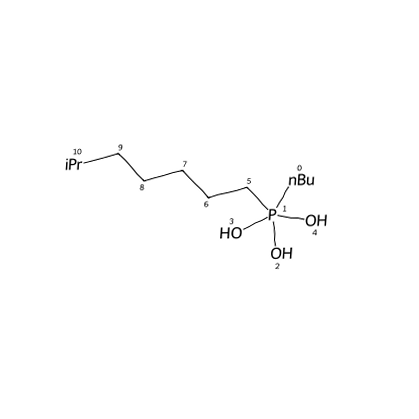 CCCCP(O)(O)(O)CCCCCC(C)C